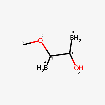 BC(O)C(B)OC